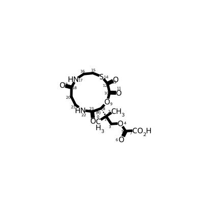 CC(C)(COC(=O)C(=O)O)[C@H]1OC(=O)C(=O)SCCNC(=O)CCNC1=O